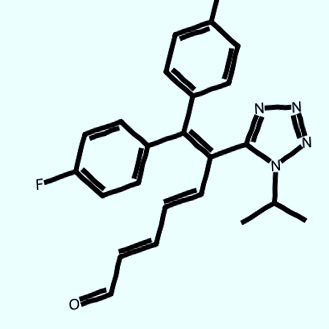 CC(C)n1nnnc1C(C=CC=CC=O)=C(c1ccc(F)cc1)c1ccc(F)cc1